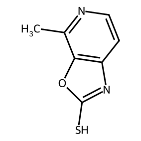 Cc1nccc2nc(S)oc12